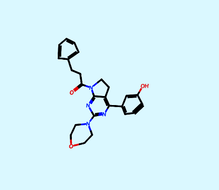 O=C(CCc1ccccc1)N1CCc2c(-c3cc#cc(O)c3)nc(N3CCOCC3)nc21